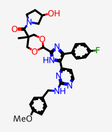 COc1ccc(CNc2nccc(-c3[nH]c(C4OCC(C)(C(=O)N5CCC(O)C5)CO4)nc3-c3ccc(F)cc3)n2)cc1